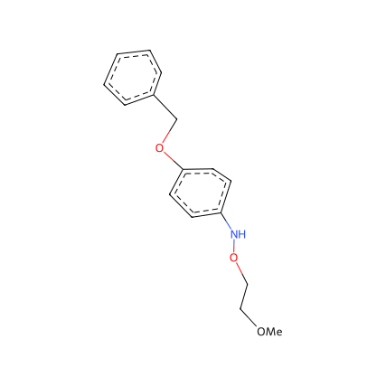 COCCONc1ccc(OCc2ccccc2)cc1